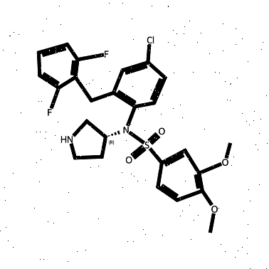 COc1ccc(S(=O)(=O)N(c2ccc(Cl)cc2Cc2c(F)cccc2F)[C@@H]2CCNC2)cc1OC